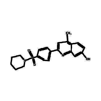 Cc1cc(-c2ccc(S(=O)(=O)N3CCCCC3)cc2)nc2cc(O)ccc12